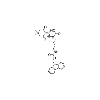 CC(N[C@@H](CCCCNC(=O)OCC1c2ccccc2-c2ccccc21)C(=O)O)=C1C(=O)CC(C)(C)CC1=O